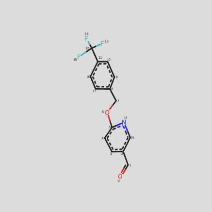 O=Cc1ccc(OCc2ccc(C(F)(F)F)cc2)nc1